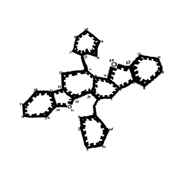 c1ccc(-c2cc3c4ccccc4oc3c3c(-c4ccccc4)cc4c5ccccc5oc4c23)cc1